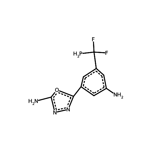 Nc1cc(-c2nnc(N)o2)cc(C(F)(F)P)c1